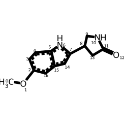 COc1ccc2[nH]c(C3CNC(=O)C3)cc2c1